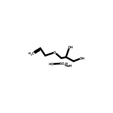 C=CCOCC(O)CO.O=S(=O)(O)O.[NaH]